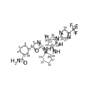 NC(=O)c1cccc(-c2cnc(N[C@@H]3CCCC[C@H]3N[C@H]3C[C@@H]4C[C@H]3N(c3cnc(C(F)(F)F)cn3)C4)o2)c1